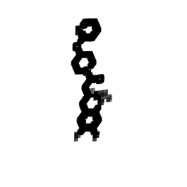 N[C@@H](CC(=O)N1CCC(Oc2ccccn2)CC1)Cc1cc(F)c(F)cc1F